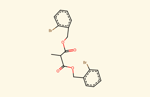 CC(C(=O)OCc1ccccc1Br)C(=O)OCc1ccccc1Br